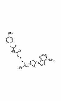 CC(C)N(CCCCC(=O)NC(=O)Cc1ccc(C(C)(C)C)cc1)C[C@@H]1CC[C@H](n2ccc3c(N)ncnc32)O1